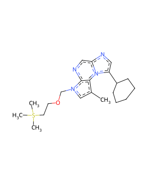 Cc1cn(COCCS(C)(C)C)c2ncc3ncc(C4CCCCC4)n3c12